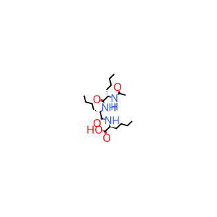 CCCC[C@H](NC(=O)[C@H](CCCC)NC(=O)[C@H](CCCC)NC(C)=O)C(=O)O